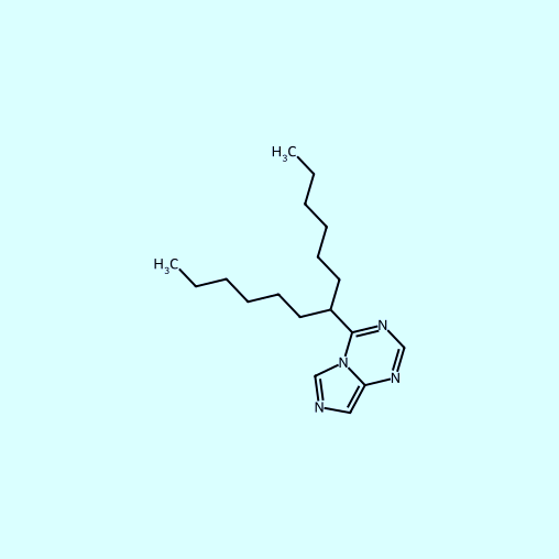 CCCCCCC(CCCCCC)c1ncnc2cncn12